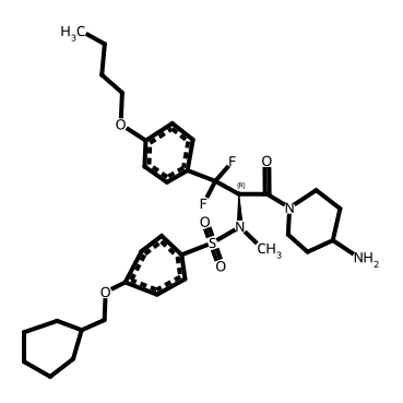 CCCCOc1ccc(C(F)(F)[C@@H](C(=O)N2CCC(N)CC2)N(C)S(=O)(=O)c2ccc(OCC3CCCCC3)cc2)cc1